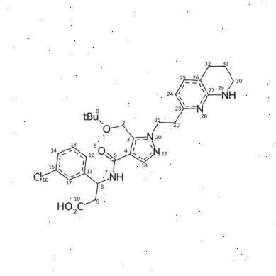 CC(C)(C)OCc1c(C(=O)NC(CC(=O)O)c2cccc(Cl)c2)cnn1CCc1ccc2c(n1)NCCC2